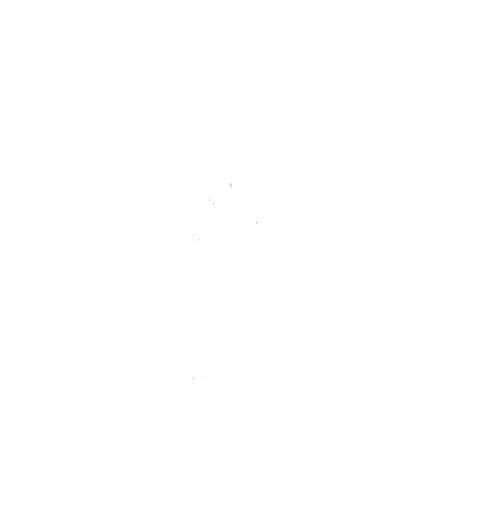 CCCCCCCCCCCCCCCCC(c1nccn1CCC)C(C)(Cc1ccccc1)c1ccccc1